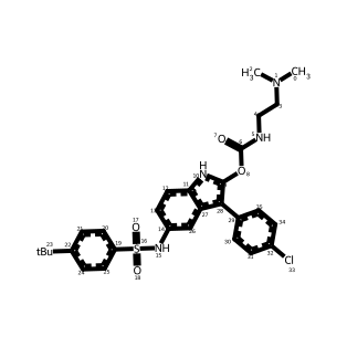 CN(C)CCNC(=O)Oc1[nH]c2ccc(NS(=O)(=O)c3ccc(C(C)(C)C)cc3)cc2c1-c1ccc(Cl)cc1